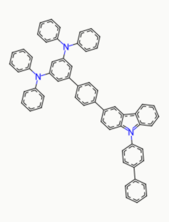 c1ccc(-c2ccc(-n3c4ccccc4c4cc(-c5ccc(-c6cc(N(c7ccccc7)c7ccccc7)cc(N(c7ccccc7)c7ccccc7)c6)cc5)ccc43)cc2)cc1